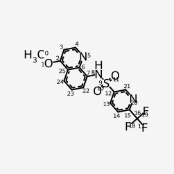 COc1ccnc2c(NS(=O)(=O)c3ccc(C(F)(F)F)nc3)cccc12